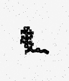 C=CCOCC(F)(F)OC(F)(F)C(F)(F)C(F)(F)C(F)(F)F